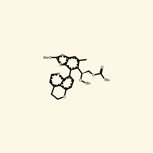 COc1nc2cc(C)c([C@@H](COC(=O)C(C)(C)C)OC(C)(C)C)c(-c3ccc4c5c(ccnc35)CCO4)c2s1